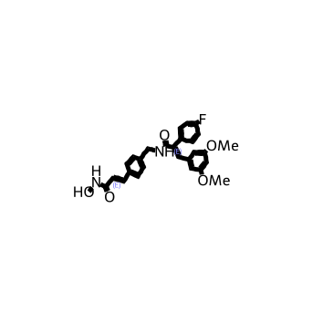 COc1cc(/C=C(/C(=O)NCc2ccc(/C=C/C(=O)NO)cc2)c2ccc(F)cc2)cc(OC)c1